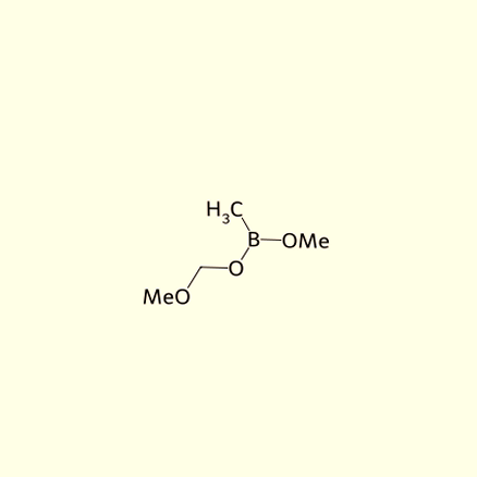 COCOB(C)OC